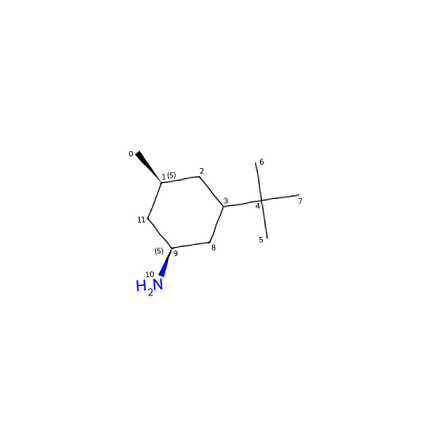 C[C@H]1CC(C(C)(C)C)C[C@@H](N)C1